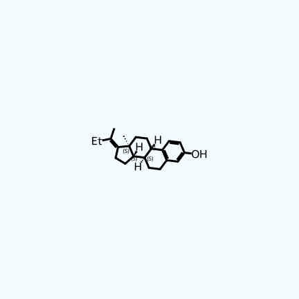 CCC(C)=C1CC[C@H]2[C@@H]3CCc4cc(O)ccc4[C@H]3CC[C@]12C